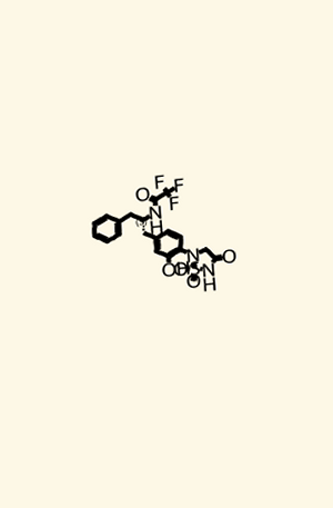 O=C1CN(c2ccc(C[C@H](Cc3ccccc3)NC(=O)C(F)(F)F)cc2O)S(=O)(=O)N1